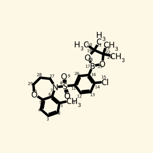 Cc1cccc2c1N(S(=O)(=O)c1ccc(Cl)c(B3OC(C)(C)C(C)(C)O3)c1)CCCO2